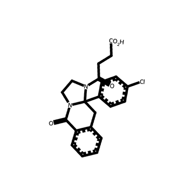 O=C(O)CCC(=O)N1CCN2C(=O)c3ccccc3CC12c1ccc(Cl)cc1